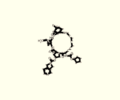 C=C[C@@H]1C[C@@]12NC(=O)[C@@H]1C[C@@H](OC(=O)N3Cc4ccncc4C3)CN1C(=O)[C@@H](NC(=O)OC1CCCC1)CCCCCCCNc1ccc(F)cc1S(=O)(=O)NC2=O